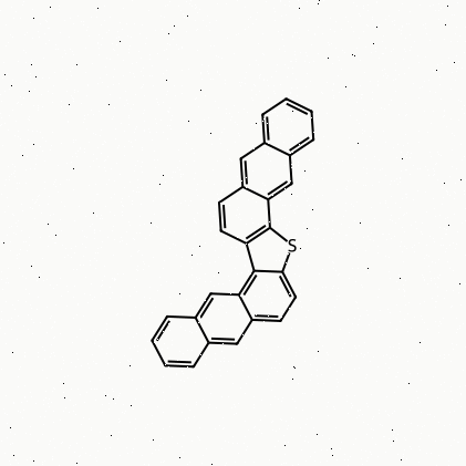 c1ccc2cc3c(ccc4c3sc3ccc5cc6ccccc6cc5c34)cc2c1